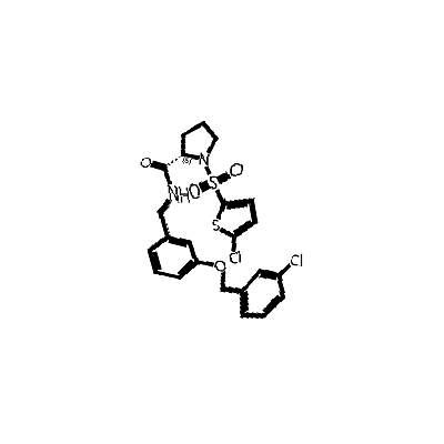 O=C(NCc1cccc(OCc2cccc(Cl)c2)c1)[C@@H]1CCCN1S(=O)(=O)c1ccc(Cl)s1